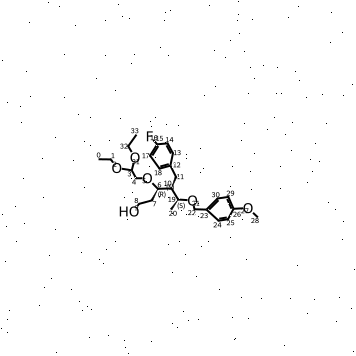 CCOC(CO[C@H](CCO)[C@@H](Cc1ccc(F)cc1)[C@H](C)OCc1ccc(OC)cc1)OCC